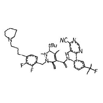 C=C(Nc1ccc(C(C)(C)F)cc1-c1ncnc(C#N)c1C)C1=C(C)C(C(C)(C)C)N(C)N(Cc2ccc(CCCN3CCCCC3)c(F)c2F)C1=C